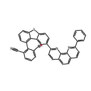 N#Cc1cccc(C#N)c1-c1cccc2sc3ccc(-c4ccc5ccc6ccc(-c7ccccc7)nc6c5n4)cc3c12